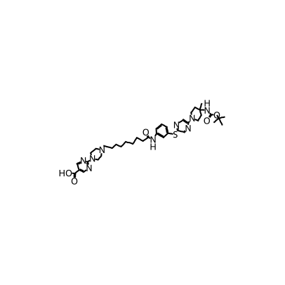 CC1(NC(=O)OC(C)(C)C)CCN(c2cnc(Sc3cccc(NC(=O)CCCCCCCCN4CCN(c5ncc(C(=O)O)cn5)CC4)c3)cn2)CC1